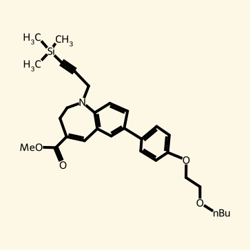 CCCCOCCOc1ccc(-c2ccc3c(c2)C=C(C(=O)OC)CCN3CC#C[Si](C)(C)C)cc1